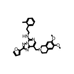 COc1cc2c(cc1OC)CN(Cc1cnc(NCCc3ccccc3C)n3nc(-c4ccco4)nc13)CC2